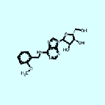 COc1ccccc1CNc1ncnc2c1ncn2C1O[C@H](CO)[C@@H](O)[C@H]1O